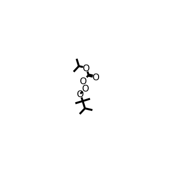 CC(C)OC(=O)OOOC(C)(C)C(C)C